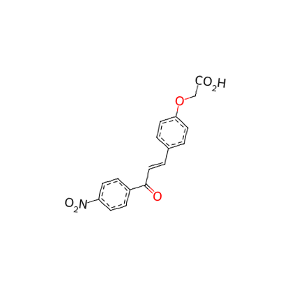 O=C(O)COc1ccc(/C=C/C(=O)c2ccc([N+](=O)[O-])cc2)cc1